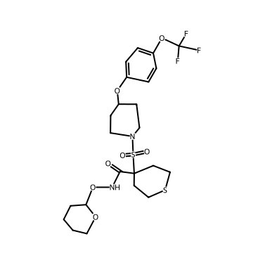 O=C(NOC1CCCCO1)C1(S(=O)(=O)N2CCC(Oc3ccc(OC(F)(F)F)cc3)CC2)CCSCC1